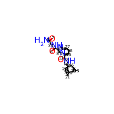 NC(=O)CNC(=O)c1cn2c(C(=O)NCC34CC5CC5C5(CC5C3)C4)cccc2n1